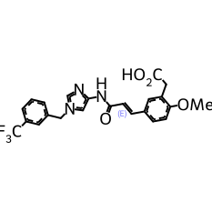 COc1ccc(/C=C/C(=O)Nc2cn(Cc3cccc(C(F)(F)F)c3)cn2)cc1CC(=O)O